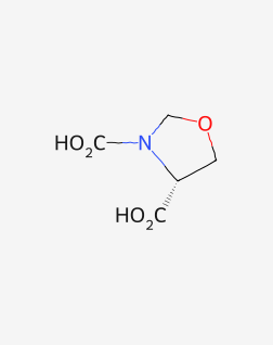 O=C(O)[C@H]1COCN1C(=O)O